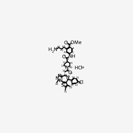 COC(=O)c1ccc(NC(=O)C2CCN(C(=O)C[C@@H]3N=C(c4ccc(Cl)cc4)c4c(sc(C)c4C)-n4c(C)nnc43)CC2)cc1CCCN.Cl